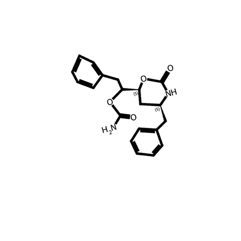 NC(=O)OC(Cc1ccccc1)[C@@H]1C[C@H](Cc2ccccc2)NC(=O)O1